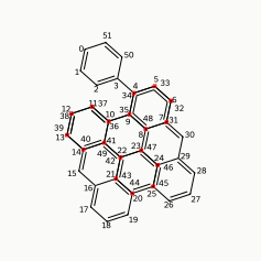 c1ccc(-c2ccccc2-c2cccc3cc4ccccc4c(-c4c5ccccc5cc5cccc(-c6ccccc6-c6ccccc6)c45)c23)cc1